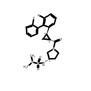 CN(C)S(=O)(=O)N[C@H]1CCN(C(=O)[C@@H]2C[C@H]2c2cccc(F)c2-c2ccccc2F)C1